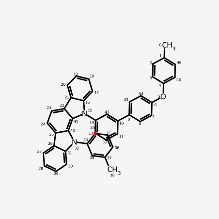 Cc1ccc(Oc2ccc(-c3cccc(-n4c5ccccc5c5ccc6c7ccccc7n(-c7cccc(C)c7)c6c54)c3)cc2)cc1